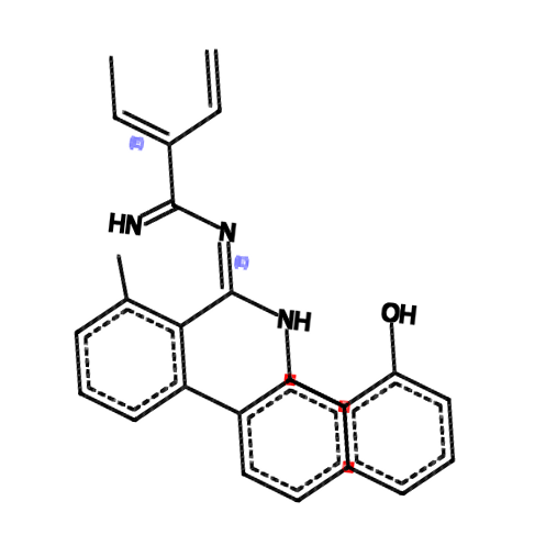 C=C/C(=C\C)C(=N)/N=C(/NCc1ccccc1O)c1c(C)cccc1-c1ccccc1